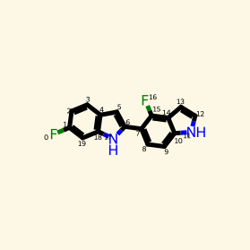 Fc1[c]cc2cc(-c3ccc4[nH]ccc4c3F)[nH]c2c1